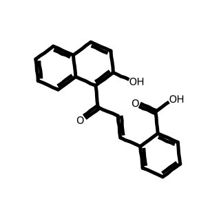 O=C(O)c1ccccc1C=CC(=O)c1c(O)ccc2ccccc12